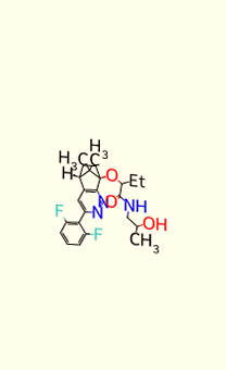 CCC(O[C@@]12CC[C@@H](c3cc(-c4c(F)cccc4F)nnc31)C2(C)C)C(=O)NCC(C)O